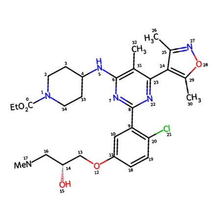 CCOC(=O)N1CCC(Nc2nc(-c3cc(OC[C@H](O)CNC)ccc3Cl)nc(-c3c(C)noc3C)c2C)CC1